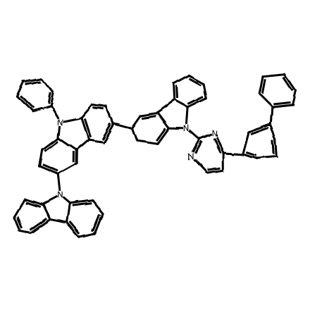 C1=c2c(n(-c3nccc(-c4cccc(-c5ccccc5)c4)n3)c3ccccc23)=CCC1c1ccc2c(c1)c1cc(-n3c4ccccc4c4ccccc43)ccc1n2-c1ccccc1